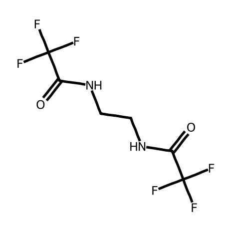 O=C(NCCNC(=O)C(F)(F)F)C(F)(F)F